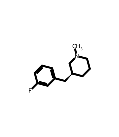 CN1CCC[C@@H](Cc2cccc(F)c2)C1